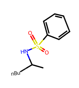 CCCCC(C)NS(=O)(=O)c1ccccc1